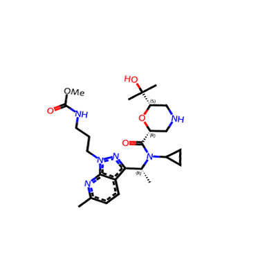 COC(=O)NCCCn1nc([C@@H](C)N(C(=O)[C@H]2CNC[C@@H](C(C)(C)O)O2)C2CC2)c2ccc(C)nc21